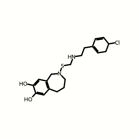 Oc1cc2c(cc1O)CN(SCNCCC1=CCC(Cl)C=C1)CCC2